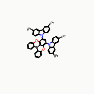 CC(C)c1ccc2c(c1)c1cc(C(C)C)ccc1n2-c1cc(-n2c3ccc(C(C)C)cc3c3cc(C(C)C)ccc32)c2c3c1Oc1ccccc1B3c1ccccc1O2